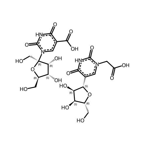 O=C(O)Cn1cc([C@@H]2O[C@H](CO)[C@@H](O)[C@H]2O)c(=O)[nH]c1=O.O=C(O)c1cn([C@]2(CO)O[C@H](CO)[C@@H](O)[C@H]2O)c(=O)[nH]c1=O